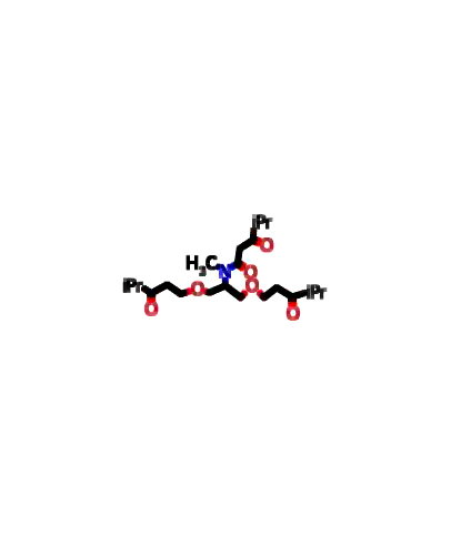 CC(C)C(=O)CCOCC(COCCC(=O)C(C)C)N(C)C(=O)CC(=O)C(C)C